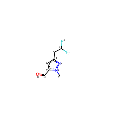 Cn1nc(CC(F)F)cc1C=O